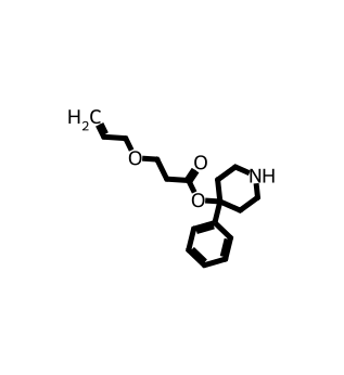 C=CCOCCC(=O)OC1(c2ccccc2)CCNCC1